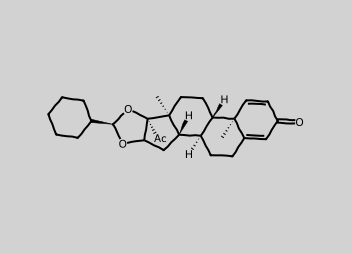 CC(=O)[C@@]12O[C@H](C3CCCCC3)OC1C[C@H]1[C@@H]3CCC4=CC(=O)C=C[C@]4(C)[C@H]3CC[C@@]12C